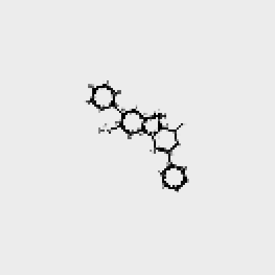 CC1CC(c2ccccc2)=Cc2c1[nH]c1cc(-c3ccccc3)c(S)cc21